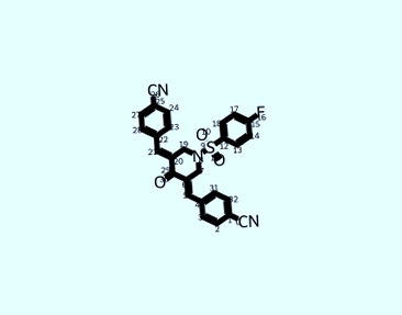 N#Cc1ccc(C=C2CN(S(=O)(=O)c3ccc(F)cc3)CC(=Cc3ccc(C#N)cc3)C2=O)cc1